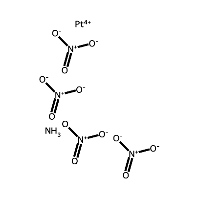 N.O=[N+]([O-])[O-].O=[N+]([O-])[O-].O=[N+]([O-])[O-].O=[N+]([O-])[O-].[Pt+4]